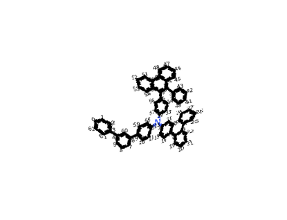 c1ccc(-c2cccc(-c3ccc(N(c4ccc(-c5ccccc5-c5ccccc5)cc4)c4ccc(-c5c(-c6ccccc6)c6ccccc6c6ccccc56)cc4)cc3)c2)cc1